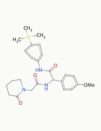 COc1ccc(C(NC(=O)CN2CCCCC2=O)C(=O)Nc2ccc(S(C)(C)C)cc2)cc1